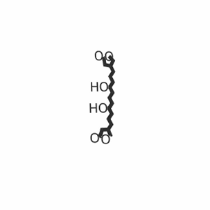 O=C1CC(CCCC(O)CCCC(O)CCCC2COC(=O)C2)CO1